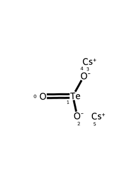 O=[Te]([O-])[O-].[Cs+].[Cs+]